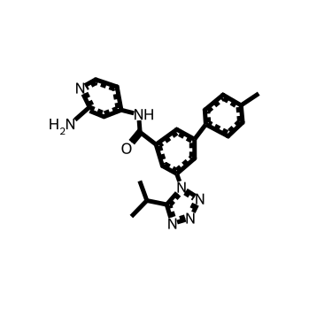 Cc1ccc(-c2cc(C(=O)Nc3ccnc(N)c3)cc(-n3nnnc3C(C)C)c2)cc1